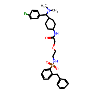 CN(C)C(c1ccc(F)cc1)C1CCC(NC(=O)COCCNS(=O)(=O)c2ccccc2Cc2ccccc2)CC1